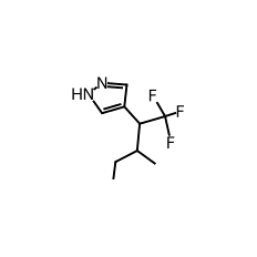 CCC(C)C(c1cn[nH]c1)C(F)(F)F